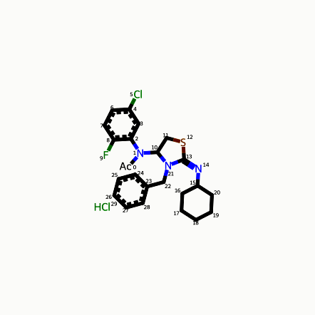 CC(=O)N(c1cc(Cl)ccc1F)C1CSC(=NC2CCCCC2)N1Cc1ccccc1.Cl